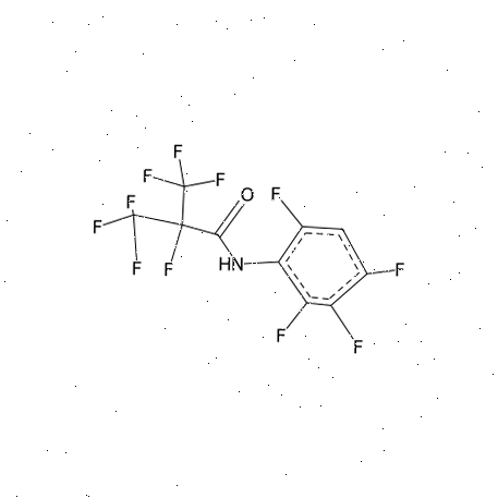 O=C(Nc1c(F)cc(F)c(F)c1F)C(F)(C(F)(F)F)C(F)(F)F